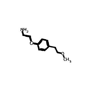 COCCc1ccc(OCCN)cc1